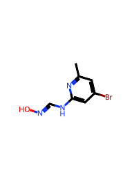 Cc1cc(Br)cc(N/C=N/O)n1